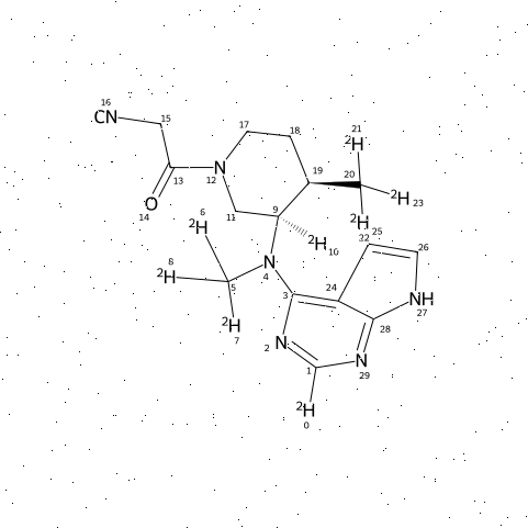 [2H]c1nc(N(C([2H])([2H])[2H])[C@@]2([2H])CN(C(=O)C[N+]#[C-])CC[C@H]2C([2H])([2H])[2H])c2cc[nH]c2n1